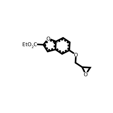 CCOC(=O)c1cc2cc(OCC3CO3)ccc2o1